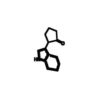 O=C1CCCC1c1c[nH]c2ccccc12